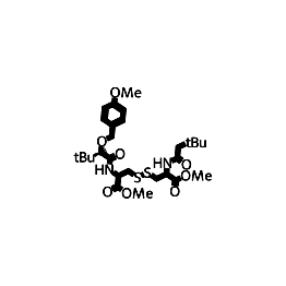 COC(=O)C(CSSCC(NC(=O)[C@H](OCc1ccc(OC)cc1)C(C)(C)C)C(=O)OC)NC(=O)CC(C)(C)C